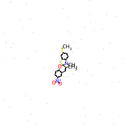 CSc1ccc2c(c1)SC1(Oc3ccc([N+](=O)[O-])cc3C=C1C)N2C